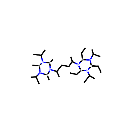 CCB1N(C(C)C)B(CC)N(C(C)CCC(C)N2B(C)N(C(C)C)B(C)N(C(C)C)B2C)B(CC)N1C(C)C